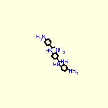 CC(Nc1ccc(C2Nc3ccc(N)cc3N2)cc1N)c1ccc(N)cc1